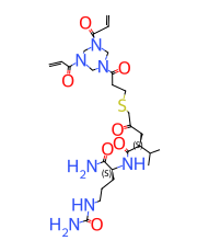 C=CC(=O)N1CN(C(=O)C=C)CN(C(=O)CCSCC(=O)C[C@H](C(=O)N[C@@H](CCCNC(N)=O)C(N)=O)C(C)C)C1